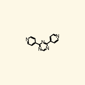 c1cc(-c2ncnc(-c3ccncc3)n2)ccn1